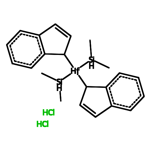 C[SiH](C)[Hf]([CH]1C=Cc2ccccc21)([CH]1C=Cc2ccccc21)[SiH](C)C.Cl.Cl